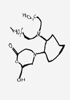 O=C(O)CN(CC(=O)O)C1CCCCC1N1CC(=O)OC(O)C1